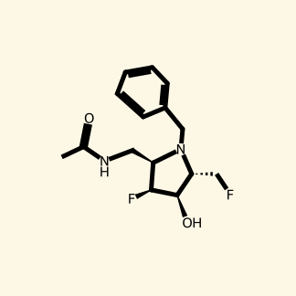 CC(=O)NC[C@@H]1[C@H](F)[C@H](O)[C@@H](CF)N1Cc1ccccc1